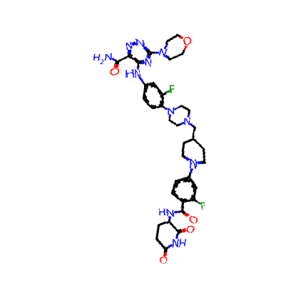 NC(=O)c1nnc(N2CCOCC2)nc1Nc1ccc(N2CCN(CC3CCN(c4ccc(C(=O)NC5CCC(=O)NC5=O)c(F)c4)CC3)CC2)c(F)c1